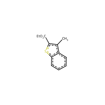 CCOC(=O)c1sc2cc[c]cc2c1C